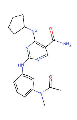 CC(=O)N(C)c1cccc(Nc2ncc(C(N)=O)c(NC3CCCC3)n2)c1